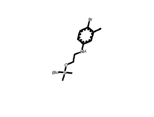 Cc1cc(NCCO[Si](C)(C)C(C)(C)C)ccc1Br